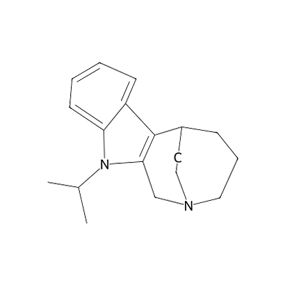 CC(C)n1c2c(c3ccccc31)C1CCCN(CC1)C2